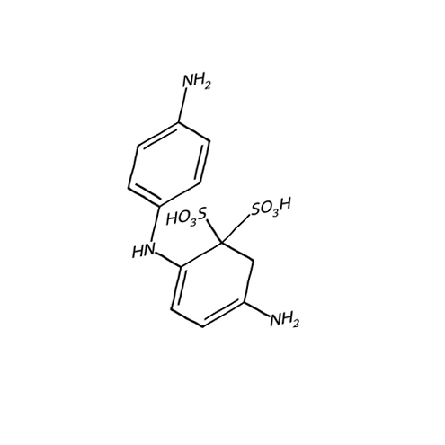 NC1=CC=C(Nc2ccc(N)cc2)C(S(=O)(=O)O)(S(=O)(=O)O)C1